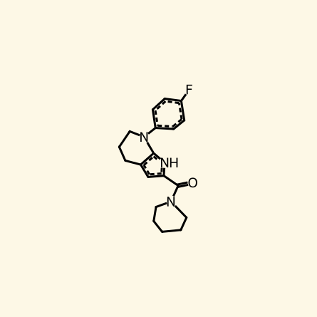 O=C(c1cc2c([nH]1)N(c1ccc(F)cc1)CCC2)N1CCCCC1